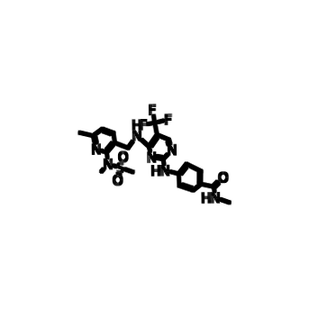 CNC(=O)c1ccc(Nc2ncc(C(F)(F)F)c(NCc3ccc(C)nc3N(C)S(C)(=O)=O)n2)cc1